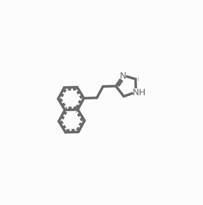 [C]1N=C(CCc2cccc3ccccc23)CN1